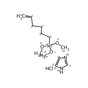 C=CCCCC[Si](OC)(OC)OC.Cl.c1c[nH]cn1